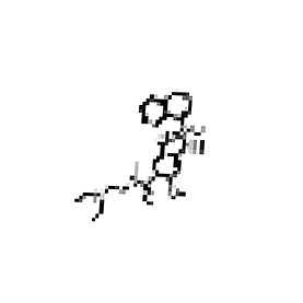 CCN(CC)CCNC(=O)c1cc(Cl)c(NS(=O)(=O)c2cccc3ccccc23)cc1OC